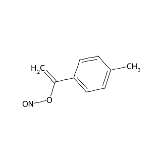 C=C(ON=O)c1ccc(C)cc1